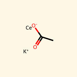 CC(=O)[O-].[Ce].[K+]